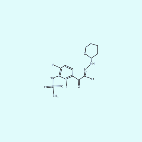 CC/C(=N\NC1CCCCO1)C(=O)c1ccc(F)c(NS(C)(=O)=O)c1F